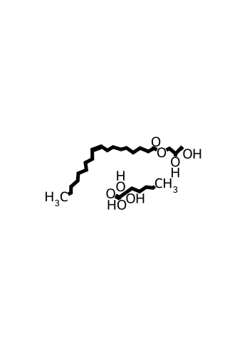 CCCCCC(O)(O)C(=O)O.CCCCCCCC/C=C\CCCCCCCC(=O)OCC(O)CO